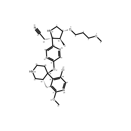 COCCCO[C@H]1CN[C@](CC#N)(c2cnc(O[C@]3(c4cc(OC)ncc4Cl)CCNC[C@H]3C)cn2)[C@@H]1C